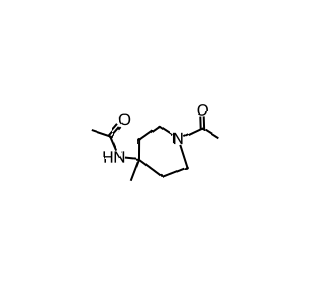 CC(=O)NC1(C)CCN(C(C)=O)CC1